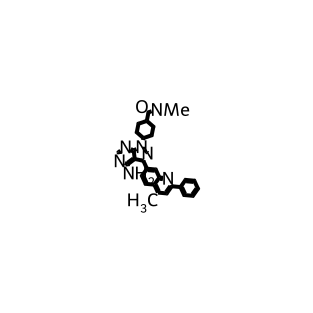 CNC(=O)C1CCC(n2nc(-c3ccc4c(C)cc(-c5ccccc5)nc4c3)c3c(N)ncnc32)CC1